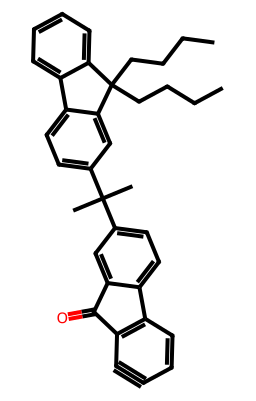 CCCCC1(CCCC)c2ccccc2-c2ccc(C(C)(C)c3ccc4c(c3)C(=O)c3c#cccc3-4)cc21